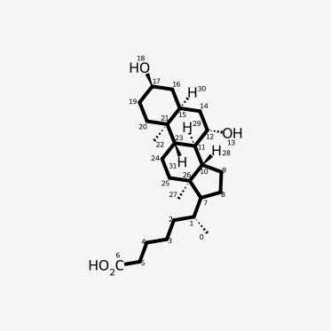 C[C@H](CCCCC(=O)O)C1CC[C@H]2[C@@H]3[C@@H](O)C[C@@H]4C[C@H](O)CC[C@]4(C)[C@H]3CC[C@]12C